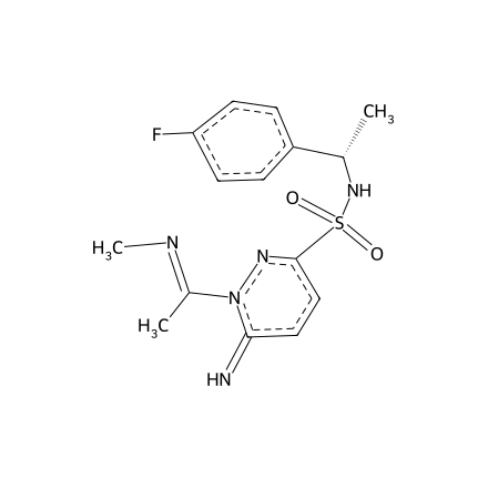 C/N=C(\C)n1nc(S(=O)(=O)N[C@@H](C)c2ccc(F)cc2)ccc1=N